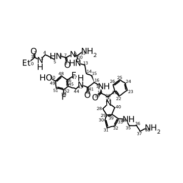 CCC(=O)NCCNC(=O)/N=C(/N)NCCC[C@@H](NC(=O)[C@H](c1ccccc1)N1Cc2cccc(NCCCN)c2C1)C(=O)NCc1c(F)cc(O)cc1F